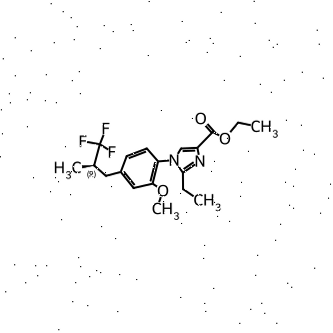 CCOC(=O)c1cn(-c2ccc(C[C@@H](C)C(F)(F)F)cc2OC)c(CC)n1